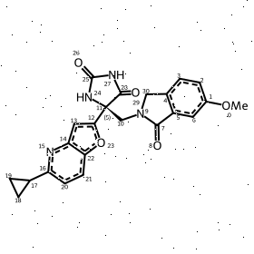 COc1ccc2c(c1)C(=O)N(C[C@@]1(c3cc4nc(C5CC5)ccc4o3)NC(=O)NC1=O)C2